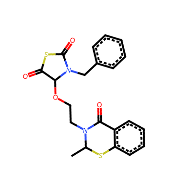 CC1Sc2ccccc2C(=O)N1CCOC1C(=O)SC(=O)N1Cc1ccccc1